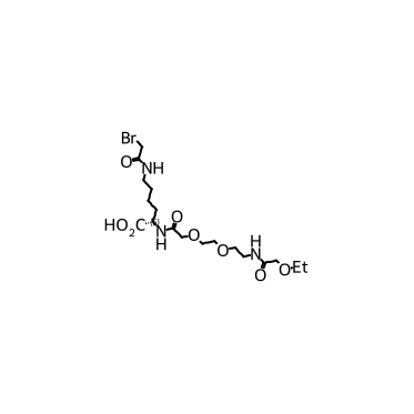 CCOCC(=O)NCCOCCOCC(=O)N[C@@H](CCCCNC(=O)CBr)C(=O)O